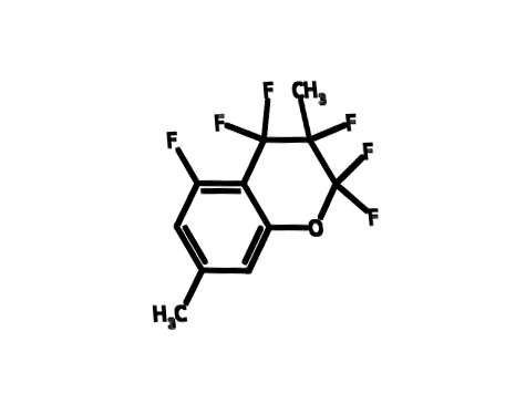 Cc1cc(F)c2c(c1)OC(F)(F)C(C)(F)C2(F)F